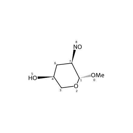 CO[C@@H]1OC[C@@H](O)C[C@H]1N=O